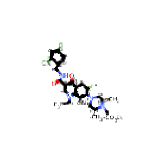 CCOC(=O)CN1[C@H](C)CN(c2c(F)cc3c(=O)c(C(=O)NCc4ccc(Cl)cc4Cl)cn(CC(F)(F)F)c3c2OC)C[C@@H]1C